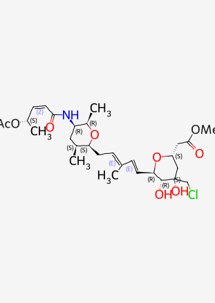 COC(=O)C[C@@H]1C[C@@](O)(CCl)[C@H](O)[C@@H](/C=C/C(C)=C/C[C@@H]2O[C@H](C)[C@H](NC(=O)/C=C\[C@H](C)OC(C)=O)C[C@@H]2C)O1